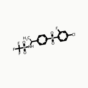 C[C@H](NS(=O)(=O)C(F)(F)F)c1ccc(S(=O)(=O)c2ccc(Cl)cc2F)cc1